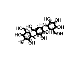 OCC1=CC(NC2CC(CO)C(O)C(O)C2O)C(O)C(O)C1OC1CC(CO)C(O)C(O)C1O